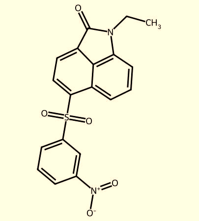 CCN1C(=O)c2ccc(S(=O)(=O)c3cccc([N+](=O)[O-])c3)c3cccc1c23